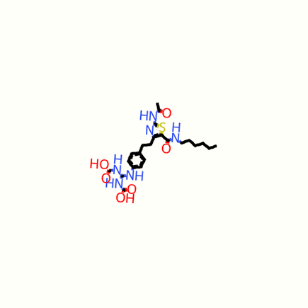 CCCCCCNC(=O)c1sc(NC(C)=O)nc1CCc1ccc(NC(NC(=O)O)NC(=O)O)cc1